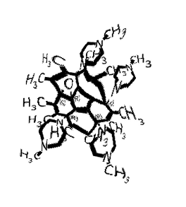 CC1=C(C)[C@@]2(N3CCN(C)CC3)C(C)=C(C)[C@@]3(N4CCN(C)CC4)C(C)=C(C)[C@]45O[C@@]46C4=C(C2=C36)[C@@]1(N1CCN(C)CC1)C(C)=C(C)[C@]4(N1CCN(C)CC1)C(C)=C5C